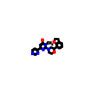 Cn1c(N2CCOC(c3cccc4c3OCC4)C2)nc(-c2ccncn2)cc1=O